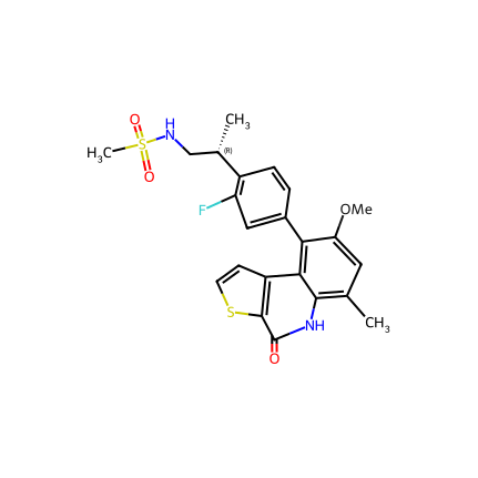 COc1cc(C)c2[nH]c(=O)c3sccc3c2c1-c1ccc([C@@H](C)CNS(C)(=O)=O)c(F)c1